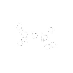 c1ccc(-c2nc(-c3ccc(-c4cc5c6ccccc6oc5c5c4sc4ccccc45)cc3)nc(-c3cccc4ccccc34)n2)cc1